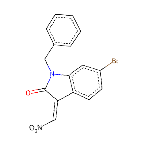 O=C1C(=C[N+](=O)[O-])c2ccc(Br)cc2N1Cc1ccccc1